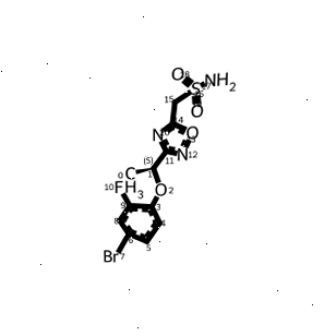 C[C@H](Oc1ccc(Br)cc1F)c1noc(CS(N)(=O)=O)n1